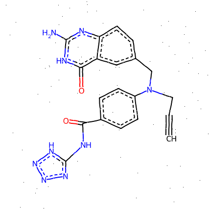 C#CCN(Cc1ccc2nc(N)[nH]c(=O)c2c1)c1ccc(C(=O)Nc2nnn[nH]2)cc1